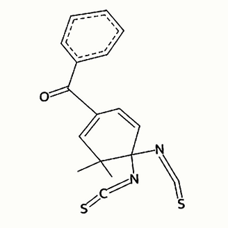 CC1(C)C=C(C(=O)c2ccccc2)C=CC1(N=C=S)N=C=S